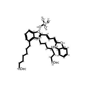 CCCCCCCCCCCCCCCCc1cccc2oc(C=CC=C3Nc4ccccc4O3)[n+](CCCCCCCCCCCCCCCC)c12.[O-][Cl+3]([O-])([O-])[O-]